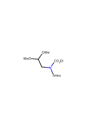 CCCCCCN(CC(OC)OC)C(=O)OCC